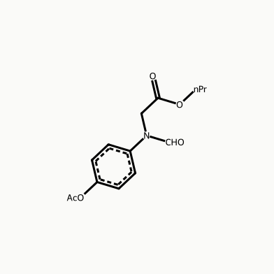 CCCOC(=O)CN(C=O)c1ccc(OC(C)=O)cc1